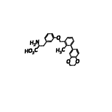 Cc1c(COc2cccc(C[C@H](N)C(=O)O)c2)cccc1-c1ccc2c(c1)OCCO2